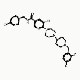 O=C(NCc1ccc(Cl)cc1)c1cnc(N2CCN(C3CCN(Cc4ccc(F)cc4F)CC3)CC2)c(Cl)c1